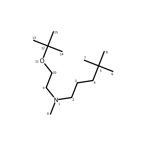 CN(CCCC(C)(C)C)CCOC(C)(C)C